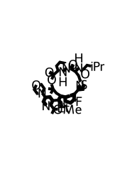 CCn1c(-c2cc(N3CCOCC3)cnc2C(C)OC)c2c3cc(c(F)cc31)-c1csc(n1)CC(NC(=O)CC(C)C)C(=O)N1CCCC(N1)C(=O)OCC(C)(C)C2